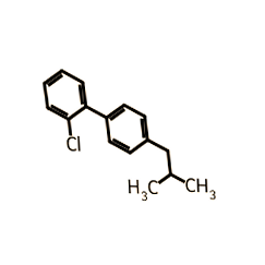 CC(C)Cc1ccc(-c2ccccc2Cl)cc1